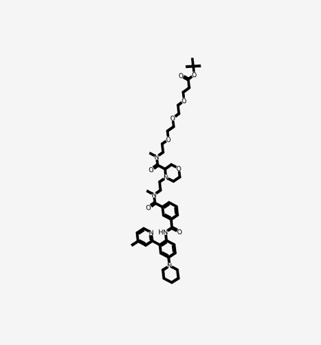 Cc1ccnc(-c2cc(N3CCCCC3)ccc2NC(=O)c2cccc(C(=O)N(C)CCN3CCOCC3C(=O)N(C)CCOCCOCCOCCC(=O)OC(C)(C)C)c2)c1